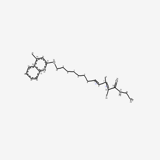 CC(/C=C/CCCCCCCOc1cc(C)c2ccccc2n1)=C(/F)C(=O)NCC(C)C